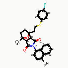 CC12CCC(CCSc3ccc(F)cc3)(O1)C1C(=O)N(c3ccc(C#N)c4ccccc34)C(=O)C12